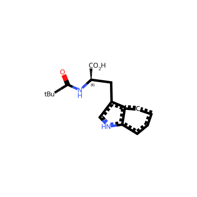 CC(C)(C)C(=O)N[C@H](Cc1c[nH]c2ccccc12)C(=O)O